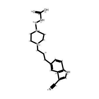 N#Cc1c[nH]c2ccc(CCCN3CCN(SNC(=O)O)CC3)cc12